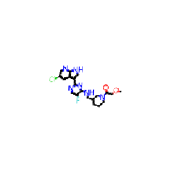 COCC(=O)N1CCCC(CNc2nc(-c3c[nH]c4ncc(Cl)cc34)ncc2F)C1